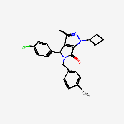 COc1ccc(CN2C(=O)c3c(c(C)nn3C3CCC3)C2c2ccc(Cl)cc2)cc1